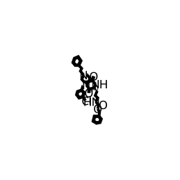 O=C(NCCC[C@@H]1NC(=O)C2(CCN(CCc3ccccc3)CC2)N(Cc2cccc(Cl)c2)C1=O)OCc1ccccc1